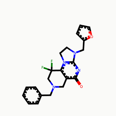 O=c1nc2n(c3c1CN(Cc1ccccc1)CC3(F)F)CCN2Cc1ccco1